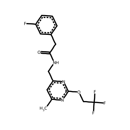 Cc1cc(CNC(=O)Cc2cccc(F)c2)nc(OCC(F)(F)F)n1